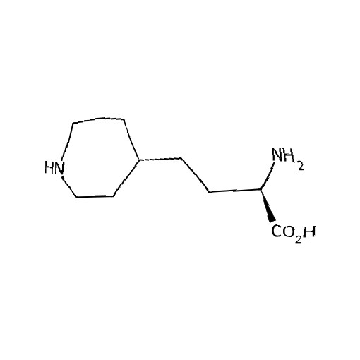 N[C@H](CCC1CCNCC1)C(=O)O